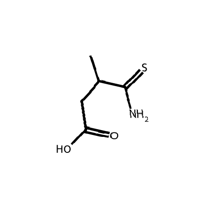 CC(CC(=O)O)C(N)=S